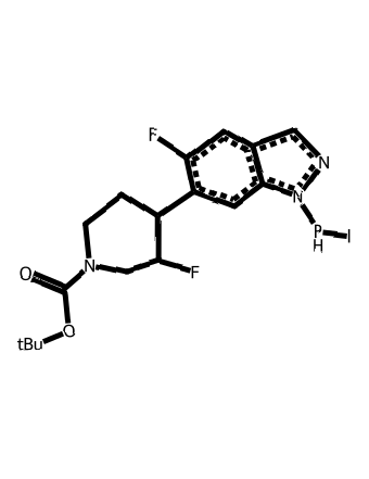 CC(C)(C)OC(=O)N1CCC(c2cc3c(cnn3PI)cc2F)C(F)C1